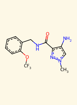 Cn1cc(N)c(C(=O)NCc2ccccc2OC(F)(F)F)n1